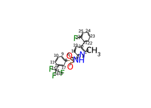 Cc1nc(NS(=O)(=O)c2cccc(C(F)(F)F)c2)ccc1-c1ccccc1F